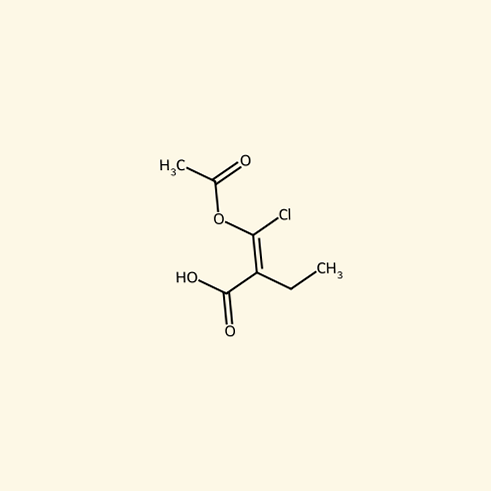 CCC(C(=O)O)=C(Cl)OC(C)=O